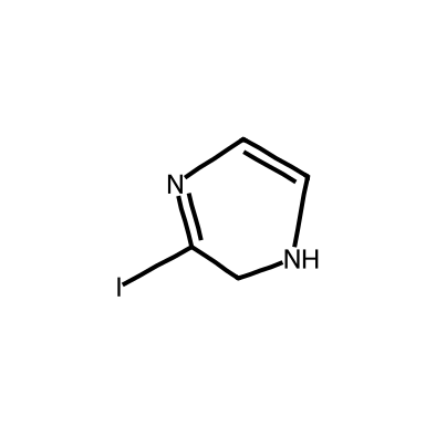 IC1=NC=CNC1